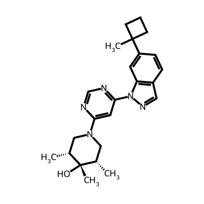 C[C@@H]1CN(c2cc(-n3ncc4ccc(C5(C)CCC5)cc43)ncn2)C[C@H](C)[C@]1(C)O